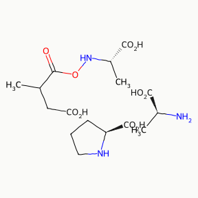 CC(CC(=O)O)C(=O)ON[C@@H](C)C(=O)O.C[C@H](N)C(=O)O.O=C(O)[C@@H]1CCCN1